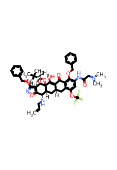 C=CCN[C@@H]1c2onc(OCc3ccccc3)c2C(=O)C2(O[Si](C)(C)C(C)(C)C)C(O)=C3C(=O)c4c(c(OC(F)(F)F)cc(NC(=O)CN(C)C)c4OCc4ccccc4)C[C@H]3C[C@@H]12